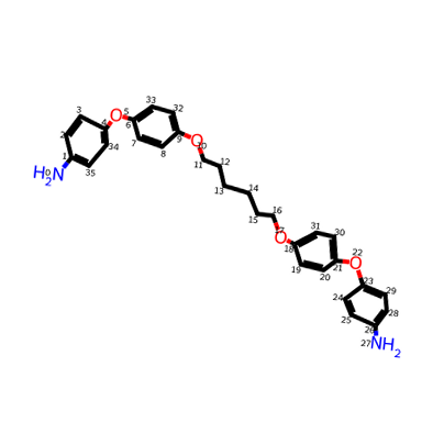 Nc1ccc(Oc2ccc(OCCCCCCOc3ccc(Oc4ccc(N)cc4)cc3)cc2)cc1